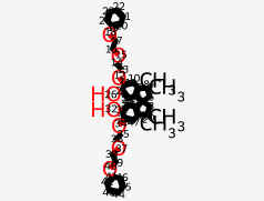 CC1(C)CC2(CC(C)(C)c3cc(OCCOCCOc4ccccc4)c(O)cc32)c2cc(O)c(OCCOCCOc3ccccc3)cc21